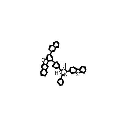 c1ccc(C2=NC(c3ccc4c(c3)sc3ccccc34)NC(c3ccc(-c4cc(-c5ccc6ccccc6c5)cc5oc6cc7ccccc7cc6c45)cc3)N2)cc1